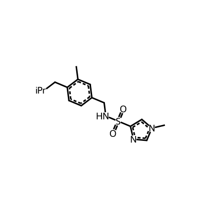 Cc1cc(CNS(=O)(=O)c2cn(C)cn2)ccc1CC(C)C